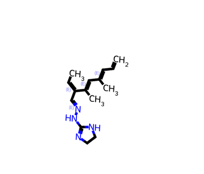 C=C/C=C(C)/C=C(C)/C(/C=N/NC1=NCCN1)=C\C